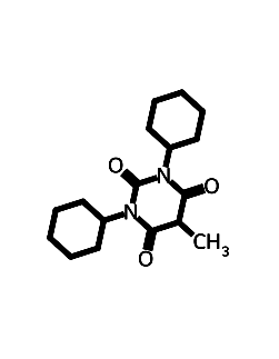 CC1C(=O)N(C2CCCCC2)C(=O)N(C2CCCCC2)C1=O